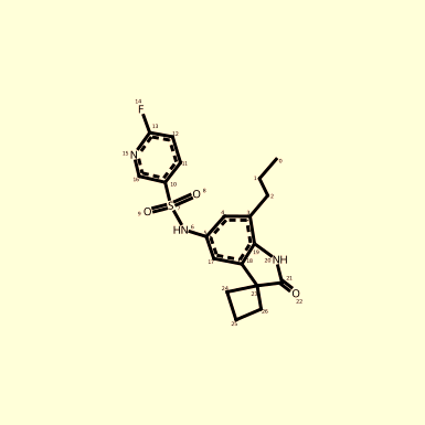 CCCc1cc(NS(=O)(=O)c2ccc(F)nc2)cc2c1NC(=O)C21CCC1